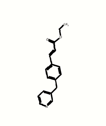 CCOC(=O)C=Cc1ccc(Cc2cccnc2)cc1